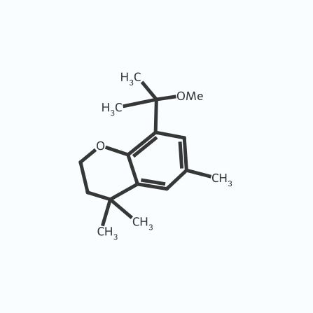 COC(C)(C)c1cc(C)cc2c1OCCC2(C)C